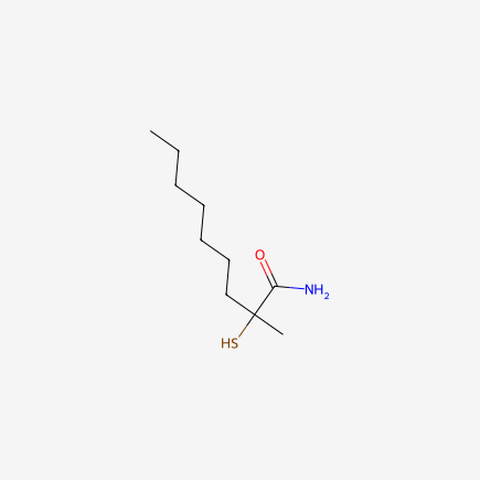 CCCCCCCC(C)(S)C(N)=O